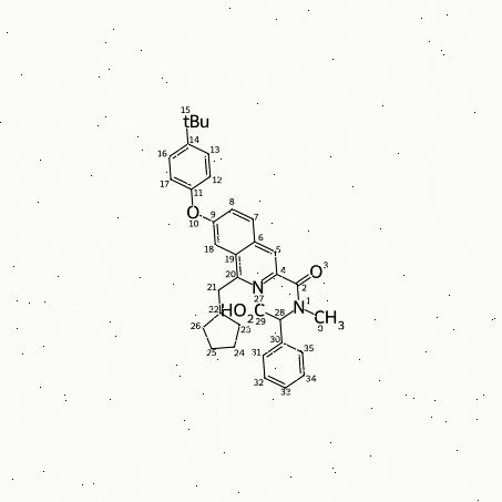 CN(C(=O)c1cc2ccc(Oc3ccc(C(C)(C)C)cc3)cc2c(CC2CCCC2)n1)C(C(=O)O)c1ccccc1